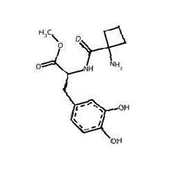 COC(=O)[C@H](Cc1ccc(O)c(O)c1)NC(=O)C1(N)CCC1